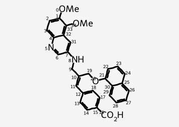 COc1ccc2ncc(NCC(=Cc3ccc(C(=O)O)cc3)COc3cccc4ccccc34)cc2c1OC